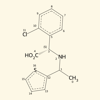 CC(N[C@H](C(=O)O)c1ccccc1Cl)c1cccs1